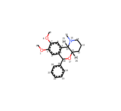 COc1cc2c(cc1OC)[C@H]1[C@H](CCCN1C)OC2c1ccccc1